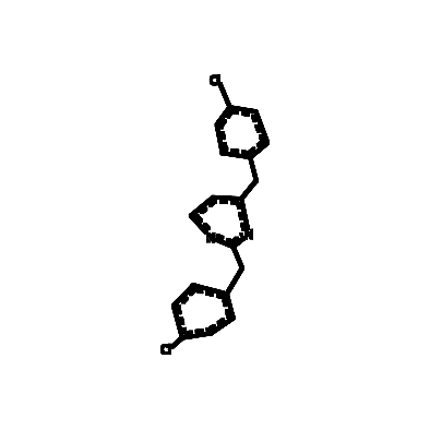 Clc1ccc(Cc2ccnc(Cc3ccc(Cl)cc3)n2)cc1